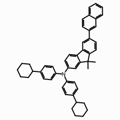 CC1(C)c2ccc(-c3ccc4ccccc4c3)cc2-c2ccc(N(c3ccc(C4CCCCC4)cc3)c3ccc(C4CCCCC4)cc3)cc21